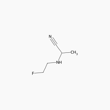 CC(C#N)NCCF